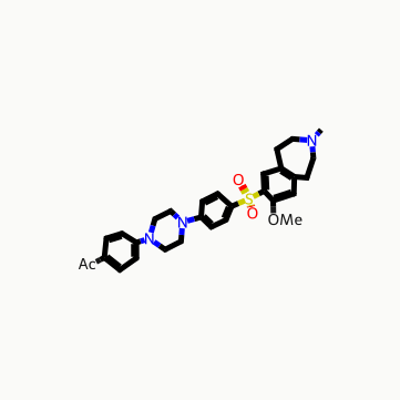 COc1cc2c(cc1S(=O)(=O)c1ccc(N3CCN(c4ccc(C(C)=O)cc4)CC3)cc1)CCN(C)CC2